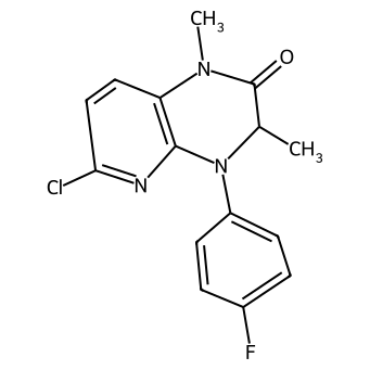 CC1C(=O)N(C)c2ccc(Cl)nc2N1c1ccc(F)cc1